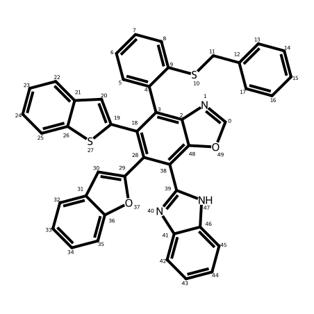 [c]1nc2c(-c3ccccc3SCc3ccccc3)c(-c3cc4ccccc4s3)c(-c3cc4ccccc4o3)c(-c3nc4ccccc4[nH]3)c2o1